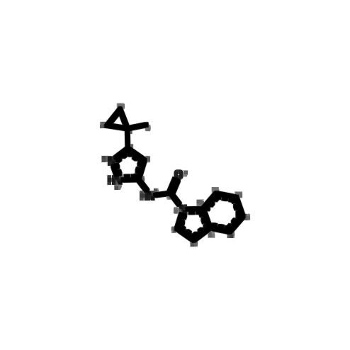 CC1(c2cc(NC(=O)n3ccc4ccccc43)[nH]n2)CC1